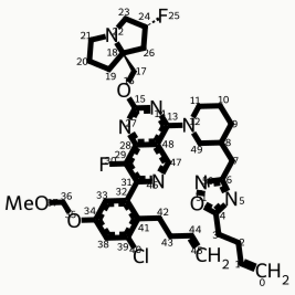 C=CCCc1nc(CC2CCCN(c3nc(OC[C@@]45CCCN4C[C@H](F)C5)nc4c(F)c(-c5cc(OCOC)cc(Cl)c5CCC=C)ncc34)C2)no1